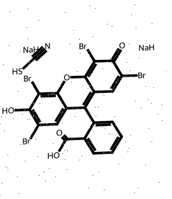 N#CS.O=C(O)c1ccccc1-c1c2cc(Br)c(=O)c(Br)c-2oc2c(Br)c(O)c(Br)cc12.[NaH].[NaH]